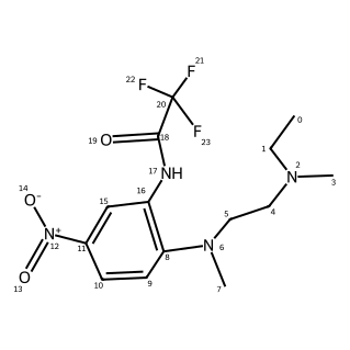 CCN(C)CCN(C)c1ccc([N+](=O)[O-])cc1NC(=O)C(F)(F)F